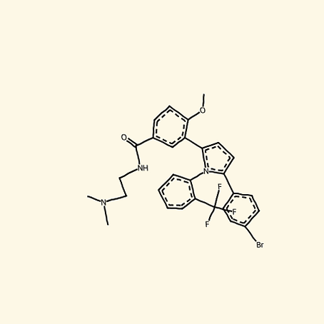 COc1ccc(C(=O)NCCN(C)C)cc1-c1ccc(-c2ccc(Br)cc2)n1-c1ccccc1C(F)(F)F